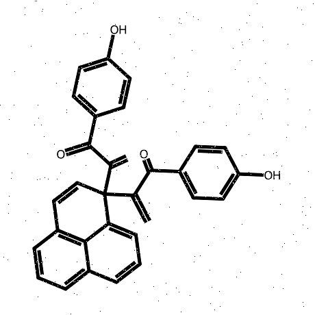 C=C(C(=O)c1ccc(O)cc1)C1(C(=C)C(=O)c2ccc(O)cc2)C=Cc2cccc3cccc1c23